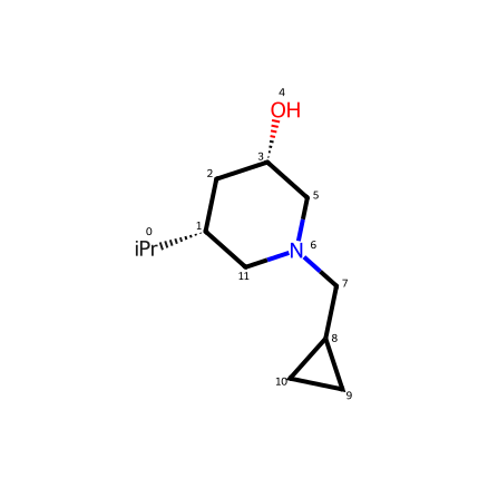 CC(C)[C@@H]1C[C@H](O)CN(CC2CC2)C1